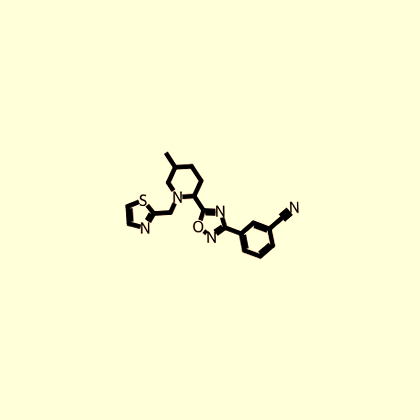 CC1CCC(c2nc(-c3cccc(C#N)c3)no2)N(Cc2nccs2)C1